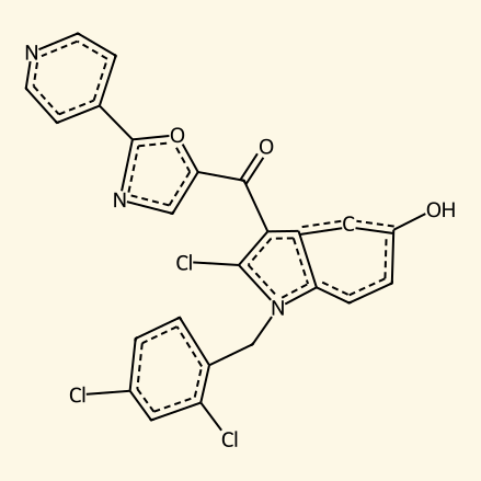 O=C(c1cnc(-c2ccncc2)o1)c1c(Cl)n(Cc2ccc(Cl)cc2Cl)c2ccc(O)cc12